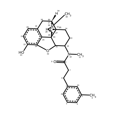 Cc1cccc(CCC(=O)N(C)C2CC[C@@]3(C)[C@H]4Cc5ccc(O)c6c5[C@@]3(CCN4C)C2O6)c1